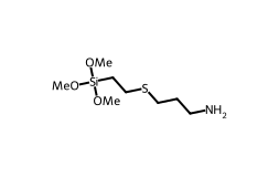 CO[Si](CCSCCCN)(OC)OC